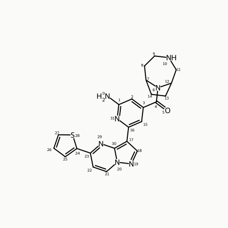 Nc1cc(C(=O)N2C3CCNCC2CC3)cc(-c2cnn3ccc(-c4cccs4)nc23)n1